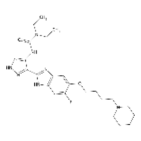 CCN(CC)C(=O)Nc1c[nH]nc1-c1nc2cc(OCCCCN3CCCCC3)c(F)cc2[nH]1